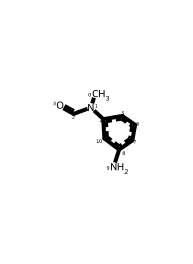 CN(C=O)c1cccc(N)c1